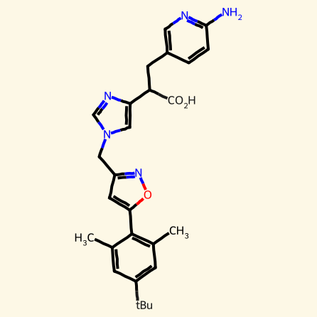 Cc1cc(C(C)(C)C)cc(C)c1-c1cc(Cn2cnc(C(Cc3ccc(N)nc3)C(=O)O)c2)no1